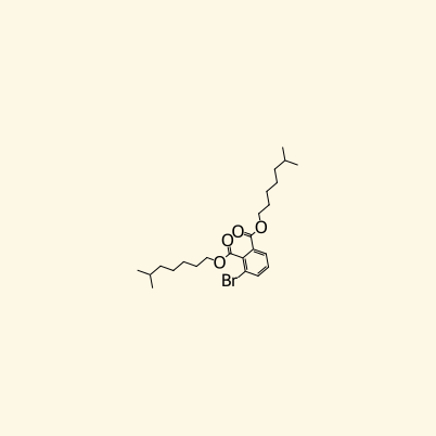 CC(C)CCCCCOC(=O)c1cccc(Br)c1C(=O)OCCCCCC(C)C